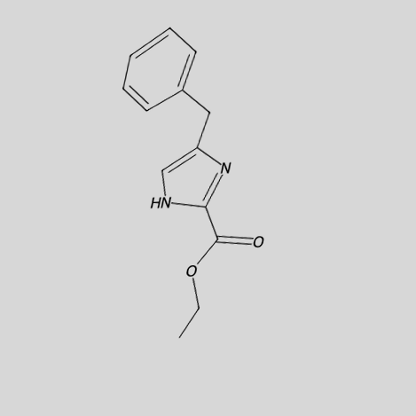 CCOC(=O)c1nc(Cc2ccccc2)c[nH]1